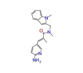 C/C(=C\c1ccc(N)nc1)C(=O)N(C)Cc1cc2ccccc2n1C